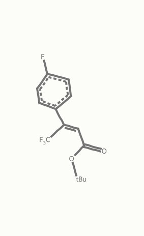 CC(C)(C)OC(=O)C=C(c1ccc(F)cc1)C(F)(F)F